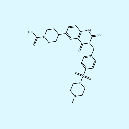 CN1CCN(S(=O)(=O)c2ccc(Cn3c(=O)[nH]c4ccc(C5CCN(C(N)=O)CC5)cc4c3=O)cc2)CC1